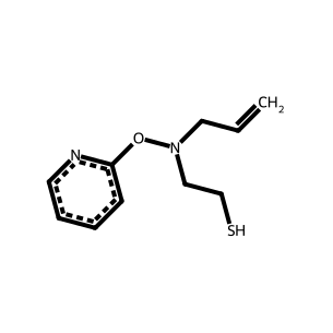 C=CCN(CCS)Oc1ccccn1